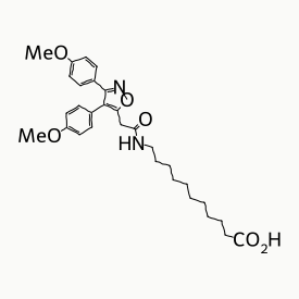 COc1ccc(-c2noc(CC(=O)NCCCCCCCCCCC(=O)O)c2-c2ccc(OC)cc2)cc1